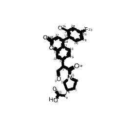 O=CC(C(=O)N1CC[C@H](CC(=O)O)C1)c1ccc2c(-c3ccc(F)cc3Cl)cc(=O)oc2c1